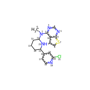 CN(c1ncnc2sccc12)C1CCCC(c2ccnc(Cl)c2)N1